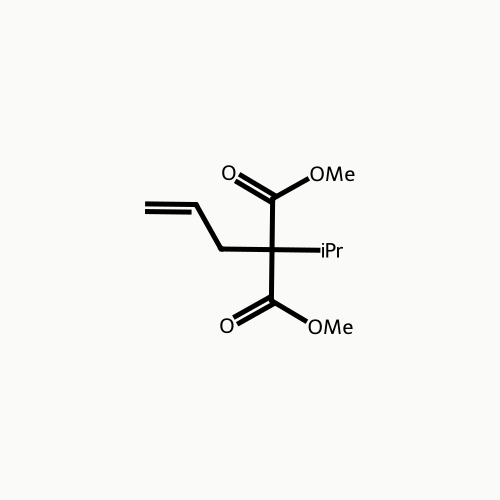 C=CCC(C(=O)OC)(C(=O)OC)C(C)C